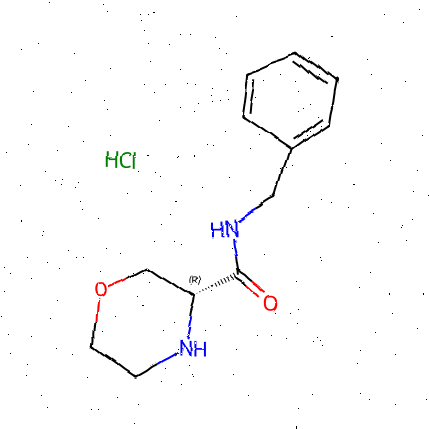 Cl.O=C(NCc1ccccc1)[C@H]1COCCN1